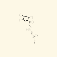 CCOC(=O)C=CNCCC(=O)c1cc(F)c(Cl)cc1Cl